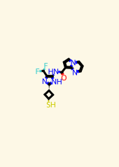 O=C(Nc1[nH]c([C@H]2C[C@H](S)C2)nc1C(F)F)c1ccn2cccnc12